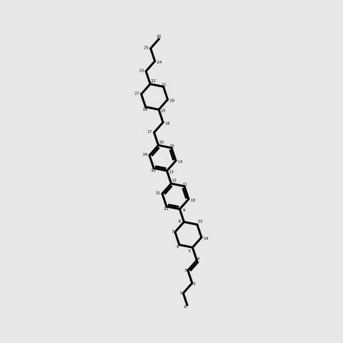 CCCC=CC1CCC(c2ccc(-c3ccc(CCC4CCC(CCCC)CC4)cc3)cc2)CC1